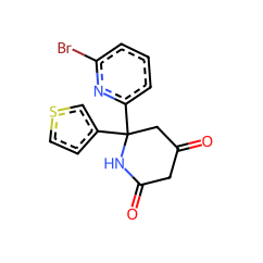 O=C1CC(=O)NC(c2ccsc2)(c2cccc(Br)n2)C1